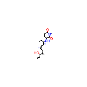 C=CC(O)[C@@H](C)C/C=C\C=C(/CC)NC1CCC(=O)N(C)C1=O